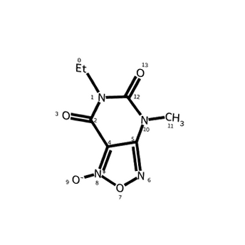 CCn1c(=O)c2c(no[n+]2[O-])n(C)c1=O